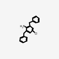 Nc1c(Cc2ccccc2)cc(Cl)cc1Cc1ccccc1